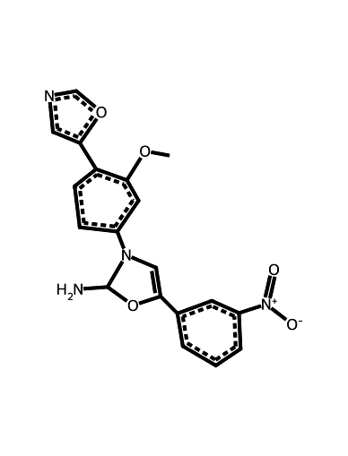 COc1cc(N2C=C(c3cccc([N+](=O)[O-])c3)OC2N)ccc1-c1cnco1